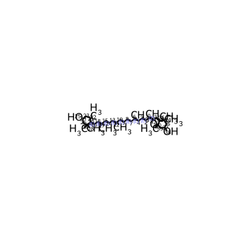 CC(/C=C/C=C(C)/C=C/C=C/C(C)=C/C=C/C(C)=C/C=C1\C(C)CC(O)CC1(C)C)=C1\C=C2C(C)(C)CC(O)CC2(C)O1